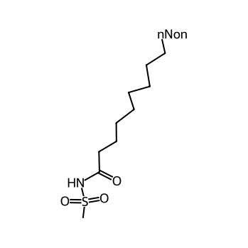 CCCCCCCCCCCCCCCCCC(=O)NS(C)(=O)=O